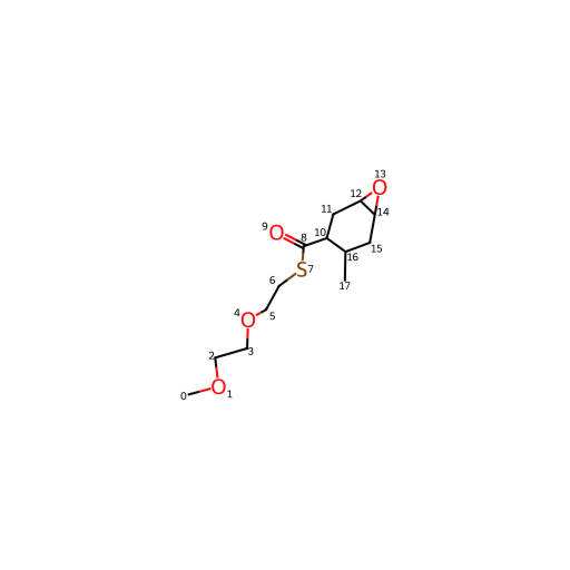 COCCOCCSC(=O)C1CC2OC2CC1C